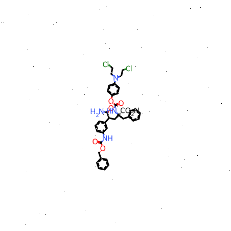 NC(=O)C(C[C@](Cc1ccccc1)(NC(=O)Oc1ccc(N(CCCl)CCCl)cc1)C(=O)O)c1cccc(NC(=O)OCc2ccccc2)c1